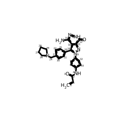 C=CC(=O)Nc1ccc(-n2nc3c(=O)[nH]nc(N)c3c2-c2ccc(CN3CCCC3)cc2)cc1